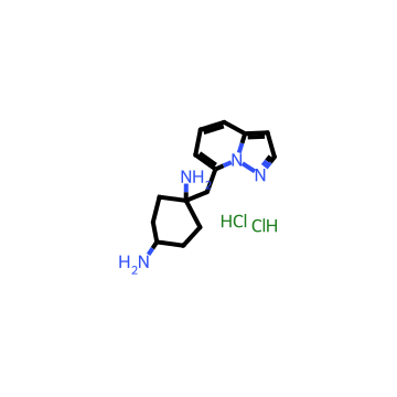 Cl.Cl.NC1CCC(N)(Cc2cccc3ccnn23)CC1